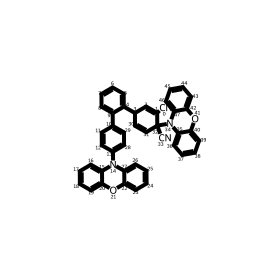 N#CC1=CC(c2ccccc2-c2ccc(N3c4ccccc4Oc4ccccc43)cc2)C=CC1(C#N)N1c2ccccc2Oc2ccccc21